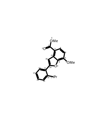 COC(=O)c1ccc(OC)c2oc(-c3ccccc3C(C)C)cc12